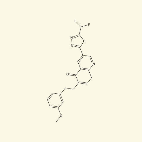 COc1cccc(CCC2=CCc3ncc(-c4nnc(C(F)F)o4)cc3C2=O)c1